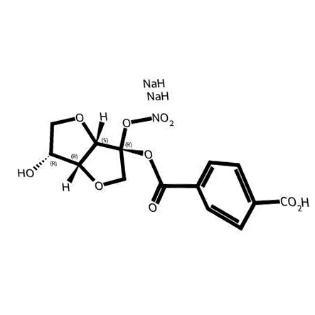 O=C(O)c1ccc(C(=O)O[C@@]2(O[N+](=O)[O-])CO[C@@H]3[C@H](O)CO[C@@H]32)cc1.[NaH].[NaH]